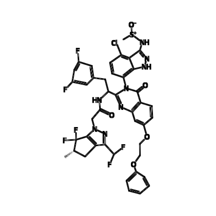 C[C@H]1Cc2c(C(F)F)nn(CC(=O)NC(Cc3cc(F)cc(F)c3)c3nc4cc(OCCOc5ccccc5)ccc4c(=O)n3-c3ccc(Cl)c4c(N[S+](C)[O-])n[nH]c34)c2C1(F)F